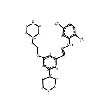 Cc1ccc(N)c(N/N=C/c2nc(OCCN3CCOCC3)cc(N3CCOCC3)n2)c1